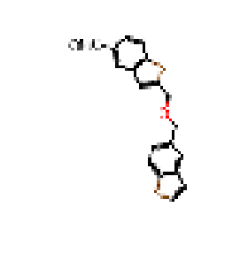 O=Cc1ccc2sc(COCc3ccc4sccc4c3)cc2c1